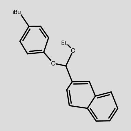 CCOC(Oc1ccc(C(C)CC)cc1)c1ccc2ccccc2c1